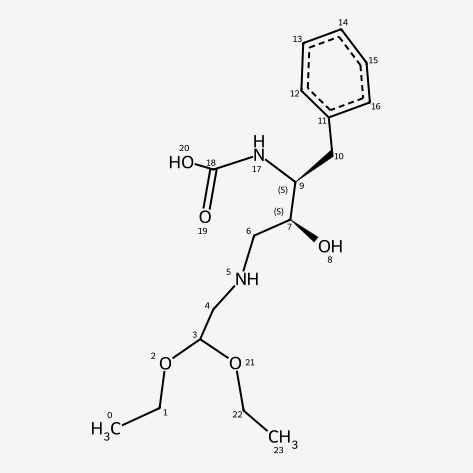 CCOC(CNC[C@H](O)[C@H](Cc1ccccc1)NC(=O)O)OCC